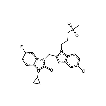 CS(=O)(=O)CCCn1c(Cn2c(=O)n(C3CC3)c3ccc(F)cc32)cc2cc(Cl)ccc21